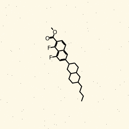 CCCCC1CCC2CC(c3cc(F)c4c(F)c(C(=O)OC)ccc4c3)CCC2C1